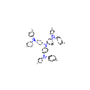 Cc1ccc(N(c2ccc(C)cc2)c2ccc(N(c3ccc(N(c4ccc(C)cc4)c4ccc(C)cc4)cc3)c3ccc(N(c4ccc(C)cc4)c4ccc(C)cc4)cc3)cc2)cc1